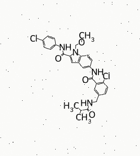 COCn1c(C(=O)Nc2ccc(Cl)cc2)cc2cc(NC(=O)c3cc(CNC(=O)C(C)C)ccc3Cl)ccc21